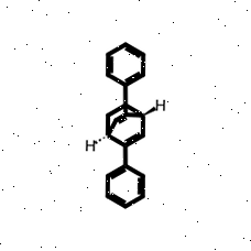 C1=C(c2ccccc2)[C@@H]2C=C(c3ccccc3)[C@@H]1CC2